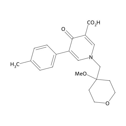 COC1(Cn2cc(C(=O)O)c(=O)c(-c3ccc(C)cc3)c2)CCOCC1